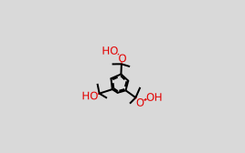 CC(C)(O)c1cc(C(C)(C)OO)cc(C(C)(C)OO)c1